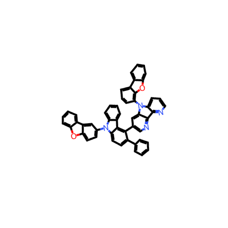 c1ccc(-c2ccc3c(c2-c2cnc4c5ncccc5n(-c5cccc6c5oc5ccccc56)c4c2)c2ccccc2n3-c2ccc3oc4ccccc4c3c2)cc1